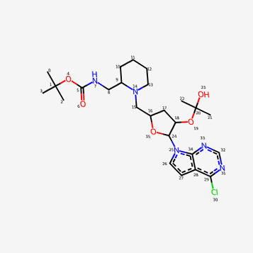 CC(C)(C)OC(=O)NCC1CCCCN1CC1CC(OC(C)(C)O)C(n2ccc3c(Cl)ncnc32)O1